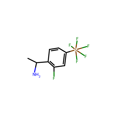 CC(N)c1ccc(S(F)(F)(F)(F)F)cc1F